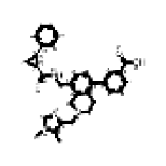 Cc1c(CN2CCc3c(-c4cccc(C(=O)O)c4)ccc(CNC(=O)[C@H]4C[C@H]4c4ccccc4)c3C2)ncn1C